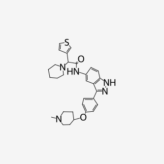 CN1CCC(Oc2ccc(-c3n[nH]c4ccc(NC(=O)C(c5ccsc5)N5CCCCC5)cc34)cc2)CC1